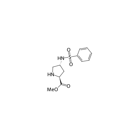 COC(=O)[C@@H]1C[C@@H](NS(=O)(=O)c2ccccc2)CN1